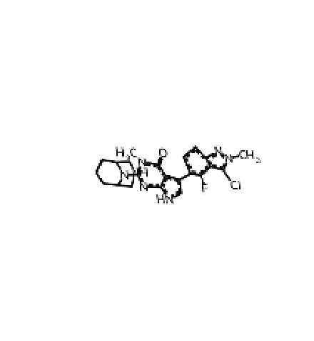 Cn1nc2ccc(-c3c[nH]c4nc(N5C6CCCC5CNC6)n(C)c(=O)c34)c(F)c2c1Cl